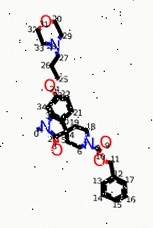 CN1C(=O)C2(CCN(C(=O)OCc3ccccc3)CC2)c2ccc(OCCCN3CCOCC3)cc21